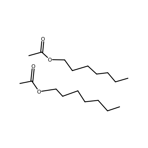 CCCCCCCOC(C)=O.CCCCCCCOC(C)=O